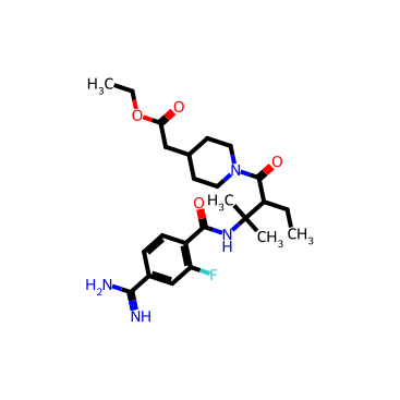 CCOC(=O)CC1CCN(C(=O)C(CC)C(C)(C)NC(=O)c2ccc(C(=N)N)cc2F)CC1